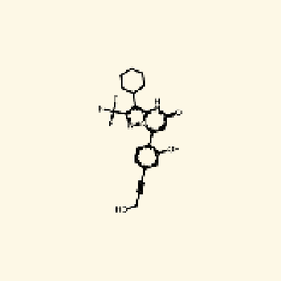 O=c1cc(-c2ccc(C#CCO)cc2O)n2nc(C(F)(F)F)c(C3CCCCC3)c2[nH]1